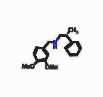 COc1ccc(CNC[C@H](C)c2ccccc2)cc1OC